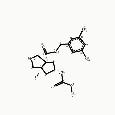 CC(C)(C)OC(=O)N[C@@H]1C[C@H]2CNC[C@@]2(C(=O)NCc2cc(C(F)(F)F)cc(C(F)(F)F)c2)C1